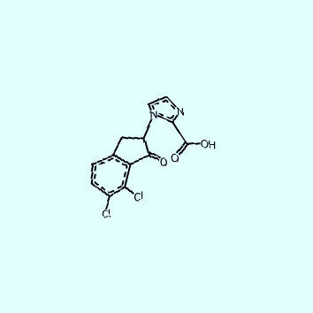 O=C(O)c1nccn1C1Cc2ccc(Cl)c(Cl)c2C1=O